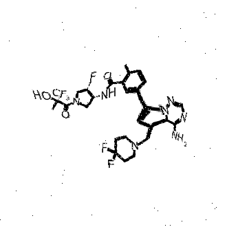 Cc1ccc(-c2cc(CN3CCC(F)(F)CC3)c3c(N)ncnn23)cc1C(=O)N[C@@H]1CN(C(=O)[C@@](C)(O)C(F)(F)F)C[C@@H]1F